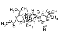 COC(=O)c1cc(C(C)C)c(NC(=O)NS(=O)(=O)c2cc(C#N)cc(C(C)(C)O)c2)c(C(C)C)c1